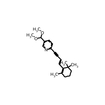 COC(OC)c1ccc(C#CC=CC2=C(C)CCCC2(C)C)nc1